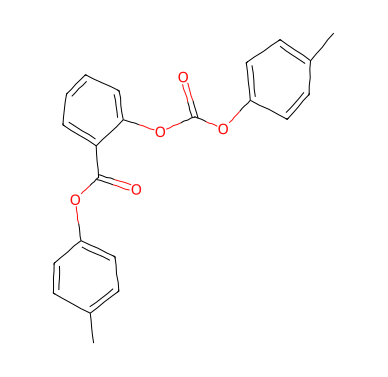 Cc1ccc(OC(=O)Oc2ccccc2C(=O)Oc2ccc(C)cc2)cc1